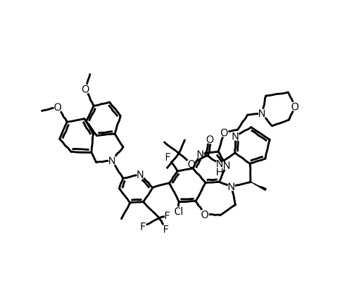 COc1ccc(CN(Cc2ccc(OC)cc2)c2cc(C)c(C(F)(F)F)c(-c3c(Cl)c4c5c(nc(OCCN6CCOCC6)nc5c3F)N([C@H](C)c3cccnc3NC(=O)OC(C)(C)C)CCO4)n2)cc1